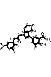 CN(C)c1cc(NC(=O)Cn2cc(-c3cc(F)c(O)c(C(N)=O)c3)c3c(=O)n(C)cnc32)c(Cl)c(F)n1